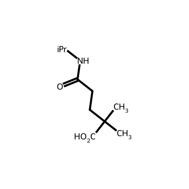 CC(C)NC(=O)CCC(C)(C)C(=O)O